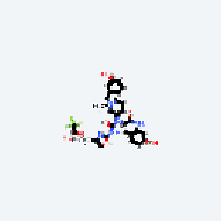 CCOC(=O)c1coc(NC(=O)/[N+](=C2/CCC[N+](C)(Cc3cccc(O)c3)C2)[C@@H](Cc2ccc(O)cc2)C(N)=O)n1.O=C(O)C(F)(F)F